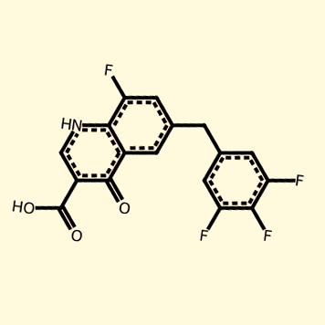 O=C(O)c1c[nH]c2c(F)cc(Cc3cc(F)c(F)c(F)c3)cc2c1=O